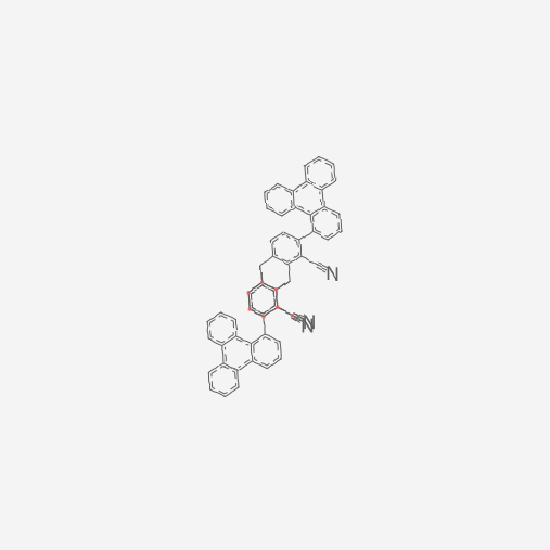 N#Cc1cccc2c1C1c3c(ccc(-c4cccc5c6ccccc6c6ccccc6c45)c3C#N)C2c2ccc(-c3cccc4c5ccccc5c5ccccc5c34)c(C#N)c21